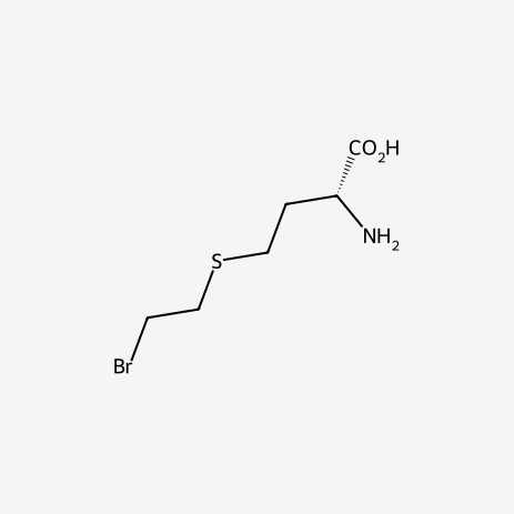 N[C@H](CCSCCBr)C(=O)O